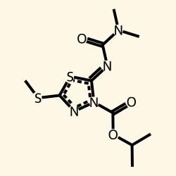 CSc1nn(C(=O)OC(C)C)c(=NC(=O)N(C)C)s1